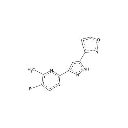 Cc1nc(-c2cc(-c3ccon3)[nH]n2)ncc1F